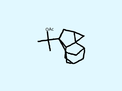 CC(=O)OC(C)(C)C12CC3CC34C3CC(CC1C3)CC42